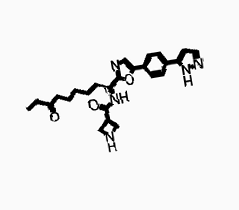 CCC(=O)CCCCC[C@H](NC(=O)C1CNC1)c1ncc(-c2ccc(-c3ccn[nH]3)cc2)o1